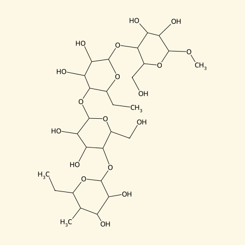 CCC1OC(OC2C(CO)OC(OC3C(CC)OC(OC4C(CO)OC(OC)C(O)C4O)C(O)C3O)C(O)C2O)C(O)C(O)C1C